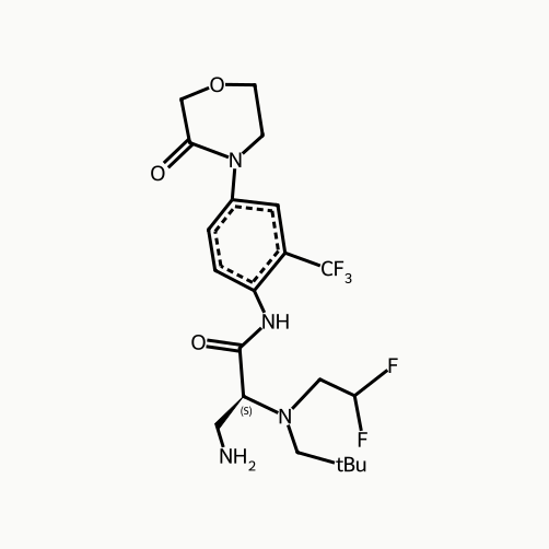 CC(C)(C)CN(CC(F)F)[C@@H](CN)C(=O)Nc1ccc(N2CCOCC2=O)cc1C(F)(F)F